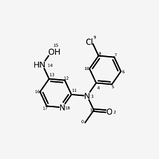 CC(=O)N(c1cccc(Cl)c1)c1cc(NO)ccn1